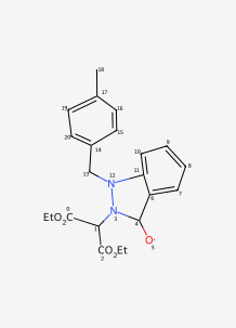 CCOC(=O)C(C(=O)OCC)N1C([O])c2ccccc2N1Cc1ccc(C)cc1